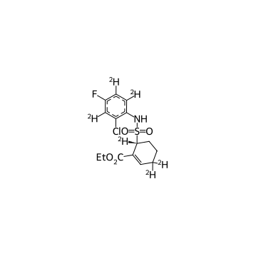 [2H]c1c([2H])c(NS(=O)(=O)[C@]2([2H])CCC([2H])([2H])C=C2C(=O)OCC)c(Cl)c([2H])c1F